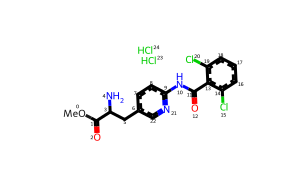 COC(=O)C(N)Cc1ccc(NC(=O)c2c(Cl)cccc2Cl)nc1.Cl.Cl